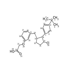 CC(C)(C)c1ccc(C2C(Cl)CCC2Cc2cccc(OCC(=O)O)c2)cc1